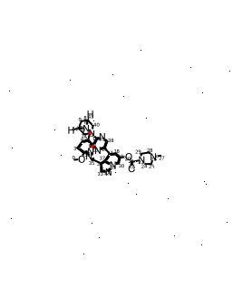 COc1ccc(CN2[C@@H]3C[C@H]2CN(c2cnc(-c4cc(OC(=O)N5CCN(C)CC5)cn5ncc(C#N)c45)cn2)C3)cn1